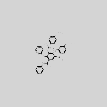 CCOc1cc(C(=O)Nc2ccccc2)c(Oc2ccccn2)c(NS(=O)(=O)c2ccc(SC)cc2)c1Oc1cccc(OC)c1